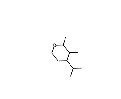 CC(C)C1CCOC(C)C1C